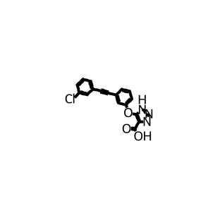 O=C(O)c1nn[nH]c1Oc1cccc(C#Cc2cccc(Cl)c2)c1